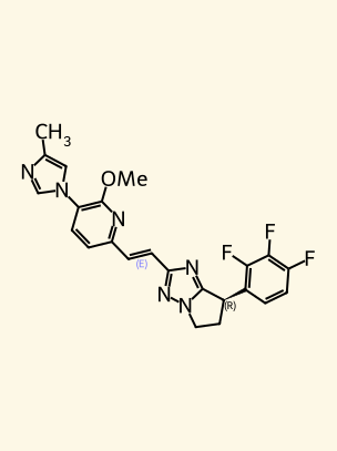 COc1nc(/C=C/c2nc3n(n2)CC[C@@H]3c2ccc(F)c(F)c2F)ccc1-n1cnc(C)c1